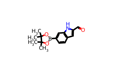 CC1(C)OB(c2ccc3cc(C=O)[nH]c3c2)OC1(C)C